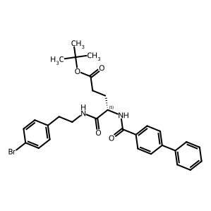 CC(C)(C)OC(=O)CC[C@H](NC(=O)c1ccc(-c2ccccc2)cc1)C(=O)NCCc1ccc(Br)cc1